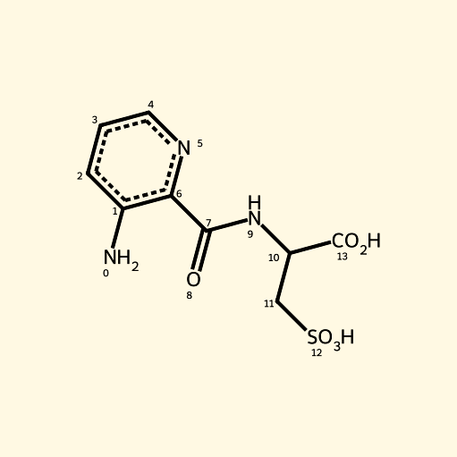 Nc1cccnc1C(=O)NC(CS(=O)(=O)O)C(=O)O